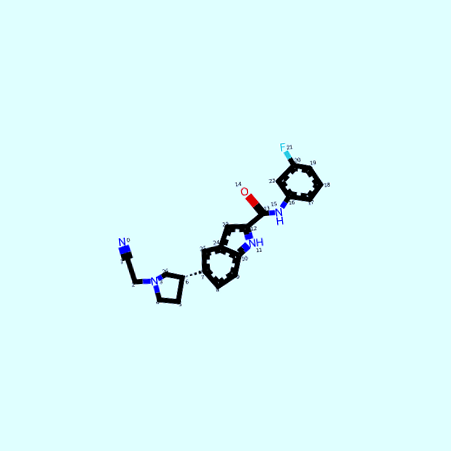 N#CCN1CC[C@@H](c2ccc3[nH]c(C(=O)Nc4cccc(F)c4)cc3c2)C1